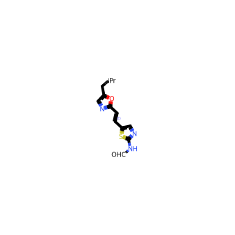 CC(C)Cc1cnc(/C=C/c2cnc(NC=O)s2)o1